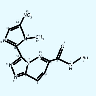 CCCCNC(=O)c1ccc2nnc(-c3ncc([N+](=O)[O-])n3C)n2n1